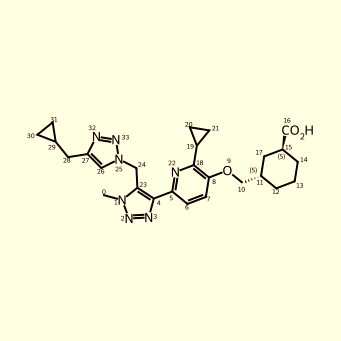 Cn1nnc(-c2ccc(OC[C@H]3CCC[C@H](C(=O)O)C3)c(C3CC3)n2)c1Cn1cc(CC2CC2)nn1